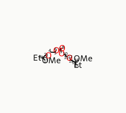 CCC(COCCOC(=O)OCCOCC(CC)OC)OC